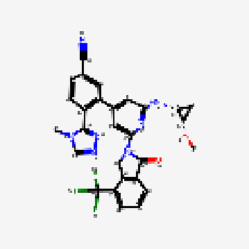 CO[C@H]1C[C@H]1Nc1cc(-c2cc(C#N)ccc2-c2nncn2C)cc(N2Cc3c(cccc3C(F)(F)F)C2=O)n1